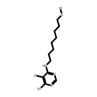 CCSCCCCCCCCNc1ncnc(CC)c1Cl